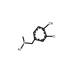 CC(=O)N(C)Cc1ccc(C#N)c(Cl)c1